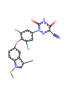 N#Cc1nn(-c2cc(Cl)c(Oc3ccc4c(c3)c(I)cn4SI)c(Cl)c2)c(=O)[nH]c1=O